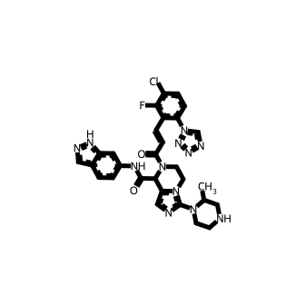 CC1CNCCN1c1ncc2n1CCN(C(=O)/C=C/c1c(-n3cnnn3)ccc(Cl)c1F)C2C(=O)Nc1ccc2cn[nH]c2c1